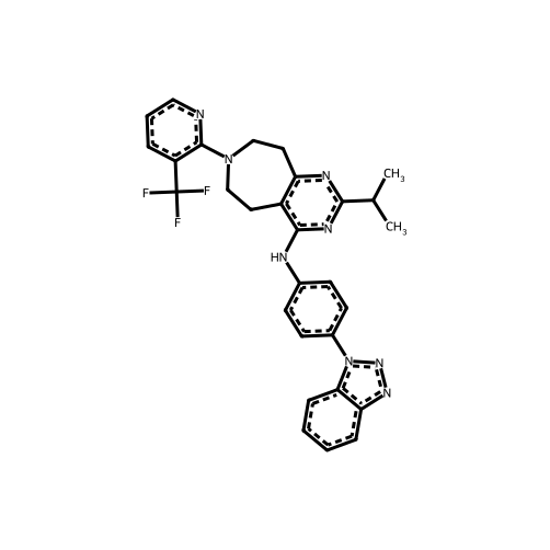 CC(C)c1nc2c(c(Nc3ccc(-n4nnc5ccccc54)cc3)n1)CCN(c1ncccc1C(F)(F)F)CC2